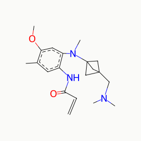 C=CC(=O)Nc1cc(C)c(OC)cc1N(C)C12CC(CN(C)C)(C1)C2